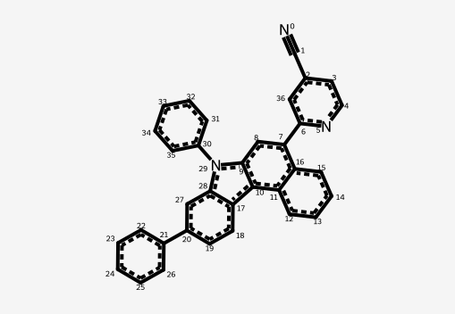 N#Cc1ccnc(-c2cc3c(c4ccccc24)c2ccc(-c4ccccc4)cc2n3-c2ccccc2)c1